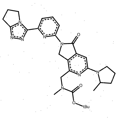 CC1CCCN1c1cc2c(c(CN(C)C(=O)OC(C)(C)C)n1)CN(c1cccc(-c3nnc4n3CCC4)n1)C2=O